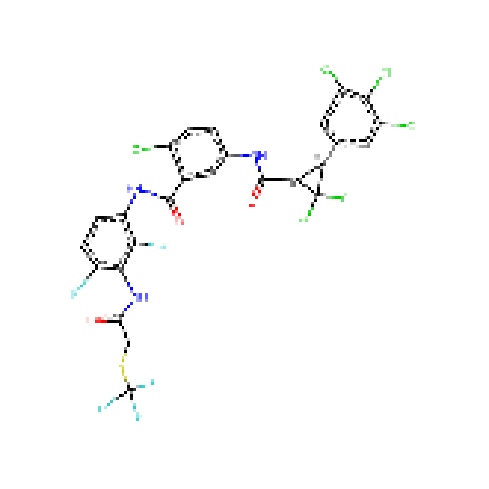 O=C(CSC(F)(F)F)Nc1c(F)ccc(NC(=O)c2cc(NC(=O)[C@H]3[C@H](c4cc(Cl)c(Cl)c(Cl)c4)C3(Cl)Cl)ccc2Cl)c1F